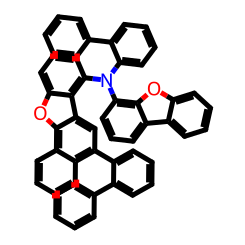 c1ccc(-c2ccccc2-c2cc3c(oc4cccc(N(c5ccccc5-c5ccccc5)c5cccc6c5oc5ccccc56)c43)c3ccccc23)cc1